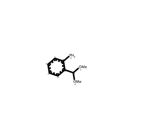 COC(OC)c1ccccc1P